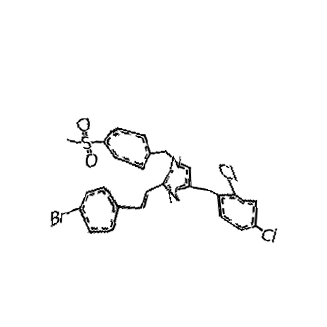 CS(=O)(=O)c1ccc(Cn2cc(-c3ccc(Cl)cc3Cl)nc2C=Cc2ccc(Br)cc2)cc1